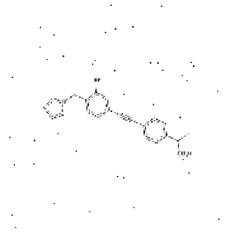 CC(C)c1cc(C#Cc2ccc(C(C)C(=O)O)cc2)ccc1Cn1ccnc1